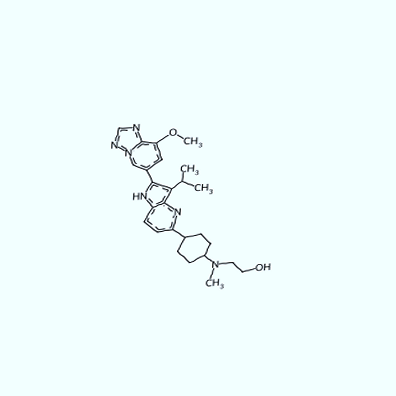 COc1cc(-c2[nH]c3ccc(C4CCC(N(C)CCO)CC4)nc3c2C(C)C)cn2ncnc12